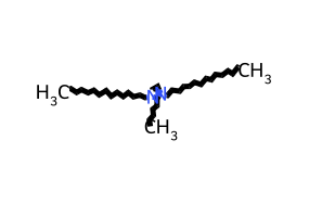 CCCCCCCCCCCCCCCN1C=CN(CCCCCCCCCCCCCCC)C1CCCCC